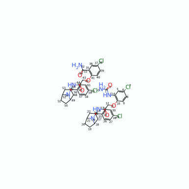 NC(=O)Nc1cc(Cl)ccc1OCC(=O)NC1CC2CCC(C1)N2Cc1ccc(Cl)cc1.NC(=O)c1cc(Cl)ccc1OCC(=O)NC1CC2CCC(C1)N2Cc1ccc(Cl)cc1